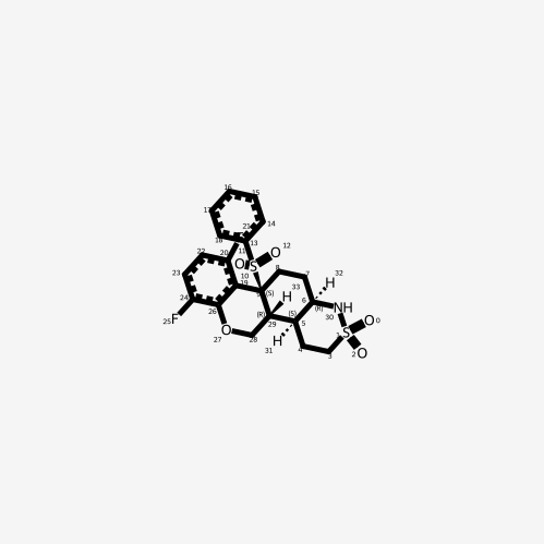 O=S1(=O)CC[C@@H]2[C@@H](CC[C@@]3(S(=O)(=O)c4ccccc4)c4c(F)ccc(F)c4OC[C@@H]23)N1